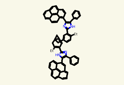 CCC1=C(c2nc(-c3ccccc3)c(-c3cc4cccc5ccc6cccc3c6c54)[nH]2)C=C2CC2(Cc2ccc(CC)c(-c3nc(-c4ccc5ccc6cccc7ccc4c5c67)c(-c4ccccc4)[nH]3)c2)C1